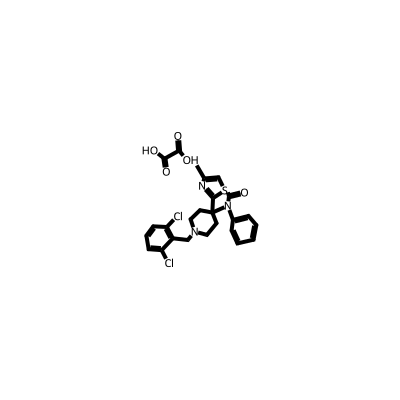 CC(=O)N(c1ccccc1)C1(c2nc(C)cs2)CCN(Cc2c(Cl)cccc2Cl)CC1.O=C(O)C(=O)O